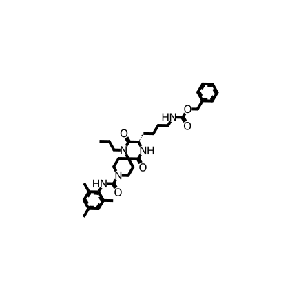 CCCN1C(=O)[C@H](CCCCNC(=O)OCc2ccccc2)NC(=O)C12CCN(C(=O)Nc1c(C)cc(C)cc1C)CC2